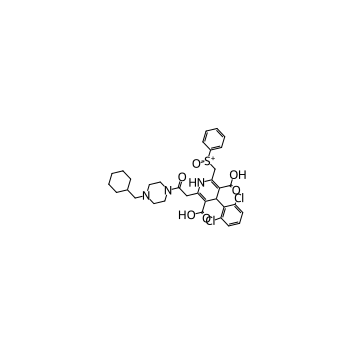 O=C(O)C1=C(CC(=O)N2CCN(CC3CCCCC3)CC2)NC(C[S+]([O-])c2ccccc2)=C(C(=O)O)C1c1c(Cl)cccc1Cl